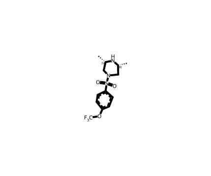 C[C@@H]1CN(S(=O)(=O)c2ccc(OC(F)(F)F)cc2)C[C@H](C)N1